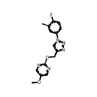 COc1cnc(OCc2cn(-c3ccc(F)c(C)c3)nn2)nc1